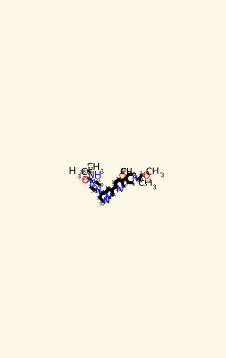 COC[C@@H](C)N1CCC(OC)(c2ccc(-c3cc4c(N5CCN(C(=O)NC(C)C)CC5)ccnn4c3)nc2)CC1